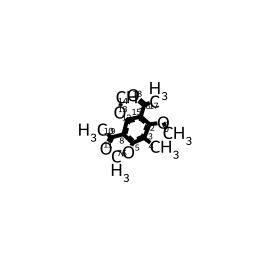 COc1c(C)c(OC)c(C(C)=O)c(OC)c1C(C)=O